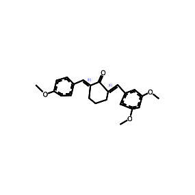 COc1ccc(/C=C2\CCC/C(=C\c3cc(OC)cc(OC)c3)C2=O)cc1